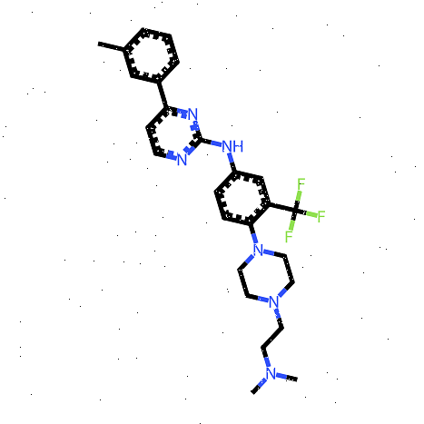 Cc1cccc(-c2ccnc(Nc3ccc(N4CCN(CCN(C)C)CC4)c(C(F)(F)F)c3)n2)c1